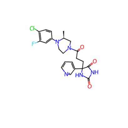 C[C@H]1CN(C(=O)CCC2(c3cccnc3)NC(=O)NC2=O)CCN1c1ccc(Cl)c(F)c1